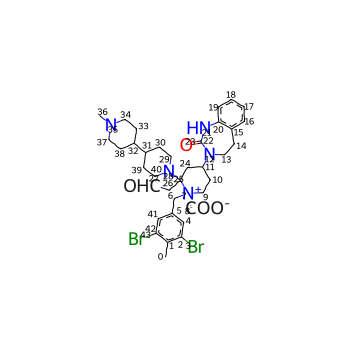 Cc1c(Br)cc(C[N@+]2(C(=O)[O-])CCC(N3CCc4ccccc4NC3=O)CC2(CC=O)N2CCC(C3CCN(C)CC3)CC2)cc1Br